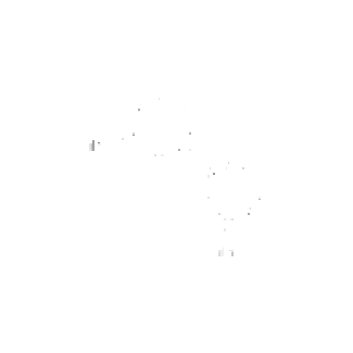 CC(C)c1[c]c(C2CCCC(C(C)C)C2)ccc1